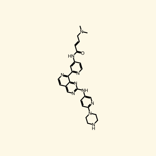 CN(C)C/C=C/C(=O)Nc1ccnc(-c2nccc3cnc(Nc4ccc(N5CCNCC5)nc4)nc23)c1